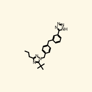 CCCc1nc(C(C)(C)C)n(Cc2ccc(Cc3cccc(-c4nnn[nH]4)c3)cc2)n1